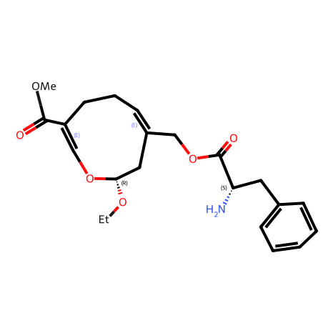 CCO[C@H]1C/C(COC(=O)[C@@H](N)Cc2ccccc2)=C\CC/C(C(=O)OC)=C\O1